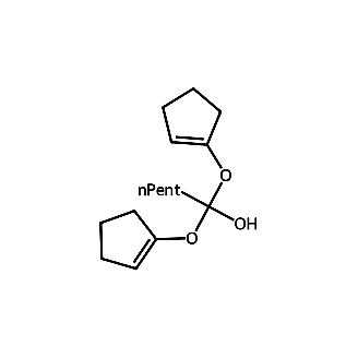 CCCCCC(O)(OC1=CCCC1)OC1=CCCC1